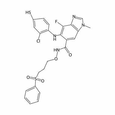 Cn1cnc2c(F)c(Nc3ccc(S)cc3Cl)c(C(=O)NOCCCS(=O)(=O)c3ccccc3)cc21